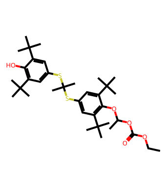 CCOC(=O)OC(C)Oc1c(C(C)(C)C)cc(SC(C)(C)Sc2cc(C(C)(C)C)c(O)c(C(C)(C)C)c2)cc1C(C)(C)C